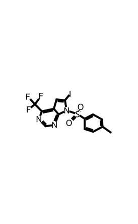 Cc1ccc(S(=O)(=O)n2c(I)cc3c(C(F)(F)F)ncnc32)cc1